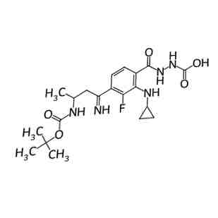 CC(CC(=N)c1ccc(C(=O)NNC(=O)O)c(NC2CC2)c1F)NC(=O)OC(C)(C)C